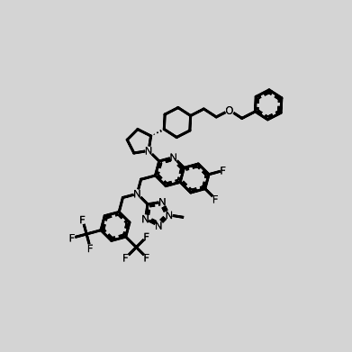 Cn1nnc(N(Cc2cc(C(F)(F)F)cc(C(F)(F)F)c2)Cc2cc3cc(F)c(F)cc3nc2N2CCC[C@@H]2C2CCC(CCOCc3ccccc3)CC2)n1